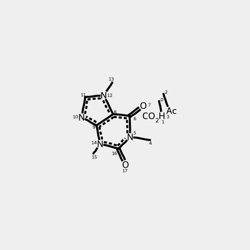 CC(=O)O.CC(C)=O.Cn1c(=O)c2c(ncn2C)n(C)c1=O